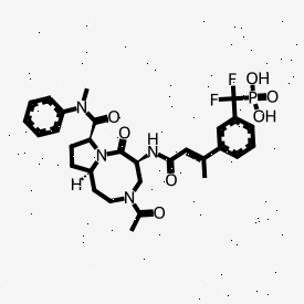 CC(=O)N1CC[C@H]2CC[C@@H](C(=O)N(C)c3ccccc3)N2C(=O)[C@@H](NC(=O)/C=C(\C)c2cccc(C(F)(F)P(=O)(O)O)c2)C1